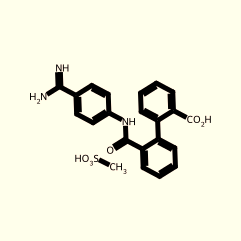 CS(=O)(=O)O.N=C(N)c1ccc(NC(=O)c2ccccc2-c2ccccc2C(=O)O)cc1